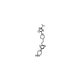 CC(C)c1noc(N2CCC(CCc3ncc(N4CCNCC4)s3)CC2)n1